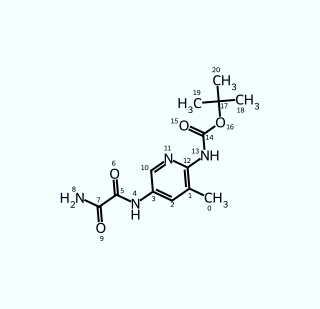 Cc1cc(NC(=O)C(N)=O)cnc1NC(=O)OC(C)(C)C